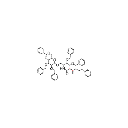 C=CC[C@@H](OCc1ccccc1)[C@@H](OCc1ccccc1)[C@H](COC1OC2COC(c3ccccc3)OC2C(OCc2ccccc2)C1OCc1ccccc1)NC(=O)CCCCCc1ccccc1